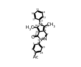 CC(=O)c1ccc(-n2ncc3c(C)n(-c4ccccc4)c(C)c3c2=O)cc1